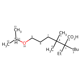 CCC(C(=O)O)(C(C)(C)C)C(C)(C)CCCO[SiH](C)C